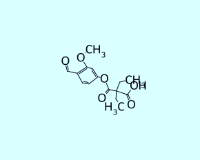 CCC(CC)(C(=O)O)C(=O)Oc1ccc(C=O)c(OC)c1